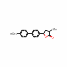 CCCCCCCCc1ccc(-c2ccc(C3CC(CCCC)C(=O)O3)cc2)cc1